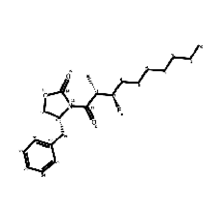 CCCCCCC[C@@H](F)[C@@H](C)C(=O)N1C(=O)OC[C@H]1Cc1ccccc1